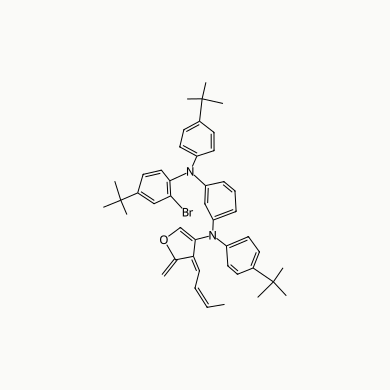 C=c1occ(N(c2ccc(C(C)(C)C)cc2)c2cccc(N(c3ccc(C(C)(C)C)cc3)c3ccc(C(C)(C)C)cc3Br)c2)/c1=C/C=C\C